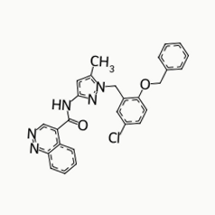 Cc1cc(NC(=O)c2cnnc3ccccc23)nn1Cc1cc(Cl)ccc1OCc1ccccc1